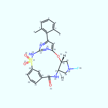 Cc1cccc(C)c1-c1cc2nc(n1)NS(=O)(=O)c1cccc(c1)C(=O)N[C@@H]1CN(F)C[C@H]1O2